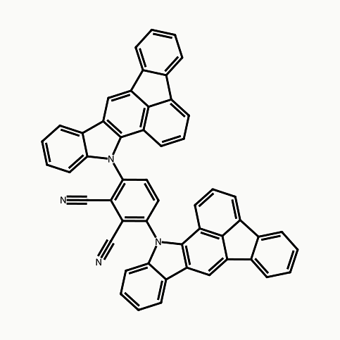 N#Cc1c(-n2c3ccccc3c3cc4c5c(cccc5c32)-c2ccccc2-4)ccc(-n2c3ccccc3c3cc4c5c(cccc5c32)-c2ccccc2-4)c1C#N